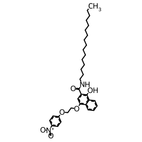 CCCCCCCCCCCCCCCCNC(=O)c1cc(OCCOc2ccc([N+](=O)[O-])cc2)c2ccccc2c1O